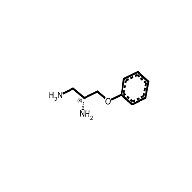 NC[C@@H](N)COc1ccccc1